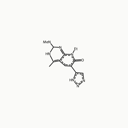 CCn1c(=O)c(-c2cnn[nH]2)cc2c1=NC(NC)NC=2C